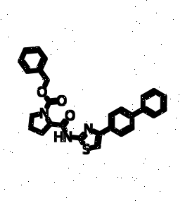 O=C(Nc1nc(-c2ccc(-c3ccccc3)cc2)cs1)C1CCCN1C(=O)OCc1ccccc1